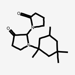 CC1CC(C)(C)CC(C)(N2CCC(=O)C2N2CCCC2=O)C1